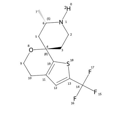 [2H]N1CC[C@]2(C[C@@H]1C)OCCc1cc(C(F)(F)F)sc12